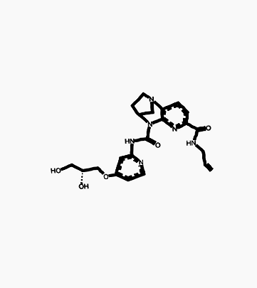 C=CCNC(=O)c1ccc2c(n1)N(C(=O)Nc1cc(OC[C@H](O)CO)ccn1)C1CCN2C1